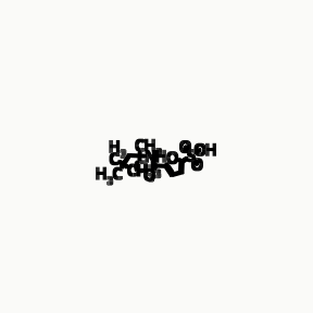 CC(C)(C)CC(C)(C)NC(=O)c1ccc(S(=O)(=O)O)o1